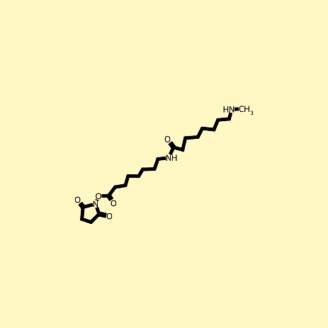 CNCCCCCCCC(=O)NCCCCCCCC(=O)ON1C(=O)CCC1=O